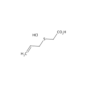 C=CCSCC(=O)O.Cl